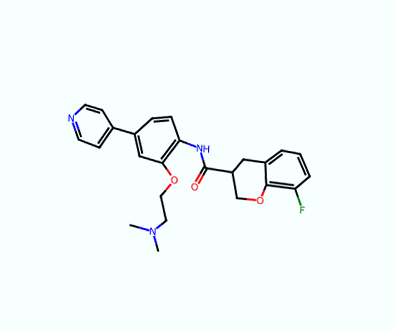 CN(C)CCOc1cc(-c2ccncc2)ccc1NC(=O)C1COc2c(F)cccc2C1